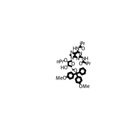 CCCO[C@@H]1[C@H](O)[C@@H](COC(c2ccccc2)(c2ccc(OC)cc2)c2ccc(OC)cc2)O[C@H]1n1cnc2c(NC(=O)C(C)C)nc(NC(=O)C(C)C)nc21